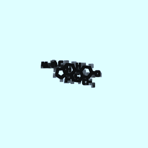 CO[C@H]1CC[C@H]2[C@@H]3CC[C@@]4(C)CC(=O)CC[C@]4(C)[C@H]3CC[C@]12C